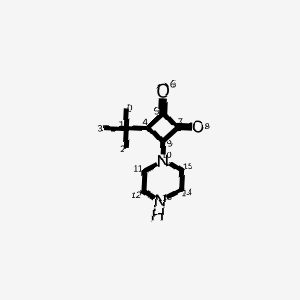 CC(C)(C)C1C(=O)C(=O)C1N1CCNCC1